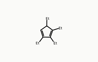 CC[C]1C=C(CC)C(CC)=C1CC